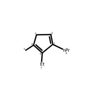 CCCC1=[C]CC(C)=C1CC